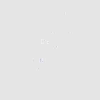 O=C(NC12CCC(NC(=O)C3CC(=O)c4cc(Cl)ccc4O3)(C1)C2)OCc1ccccc1